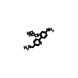 Cl.Cl.Cl.NCc1ccc(-c2ccc(N)cc2)nc1